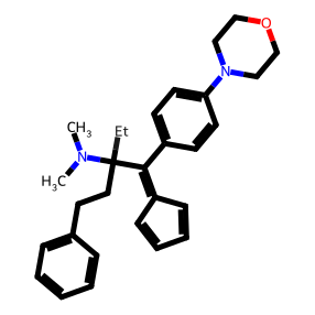 CCC(CCc1ccccc1)(C(=C1C=CC=C1)c1ccc(N2CCOCC2)cc1)N(C)C